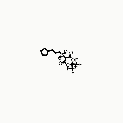 O=C1OC(C(F)(F)F)(C(F)(F)F)OC(=O)C1S(=O)(=O)CCCC1CCCC1